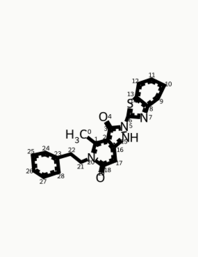 Cc1c2c(=O)n(-c3nc4ccccc4s3)[nH]c2cc(=O)n1CCc1ccccc1